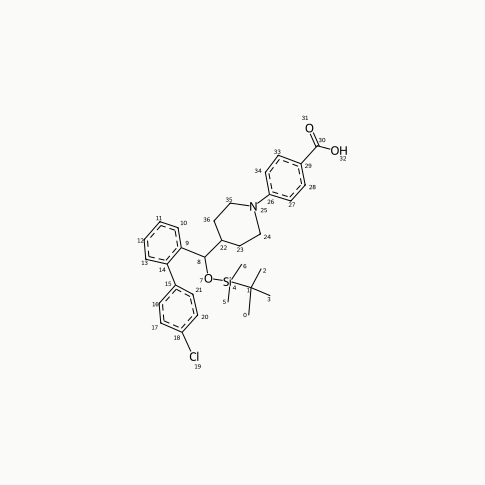 CC(C)(C)[Si](C)(C)OC(c1ccccc1-c1ccc(Cl)cc1)C1CCN(c2ccc(C(=O)O)cc2)CC1